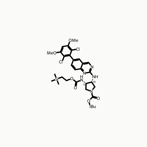 COc1cc(OC)c(Cl)c(-c2ccc3nc(N[C@@H]4CN(C(=O)OC(C)(C)C)C[C@@H]4NC(=O)OCC[Si](C)(C)C)ncc3c2)c1Cl